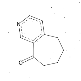 O=C1CCCCc2ccncc21